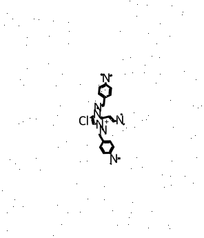 CN(C)C=Cc1n(N=Cc2ccc(N(C)C)cc2)cc[n+]1N=Cc1ccc(N(C)C)cc1.[Cl-]